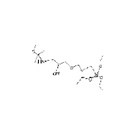 CCO[Si](CCCOCC(O)CNC(C)(C)SC)(OCC)OCC